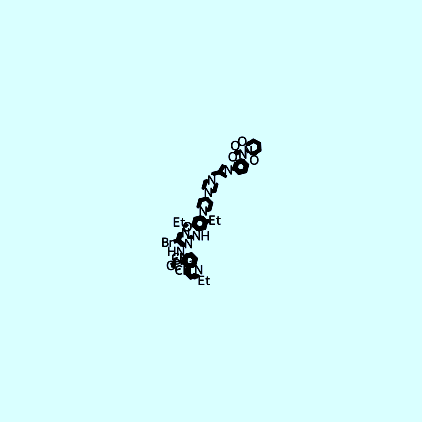 CCOc1cc(N2CCC(N3CCN(CC4CN(c5cccc6c5oc(=O)n6N5C(=O)CCCC5=O)C4)CC3)CC2)c(CC)cc1Nc1ncc(Br)c(Nc2ccc3nc(CC)ccc3c2P(C)(C)=O)n1